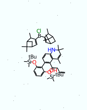 C=CC[C@@H](O)c1c(-c2c(O[Si](C)(C)C(C)(C)C)cccc2O[Si](C)(C)C(C)(C)C)ccc2c1C(C)=CC(C)(C)N2.CC1C(B(Cl)C2=CC3CC(C2C)C3(C)C)=CC2CC1C2(C)C